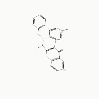 C[C@@H](OCc1ccccc1)c1oc2ccc(F)cc2c(=O)c1-c1cccc(F)c1